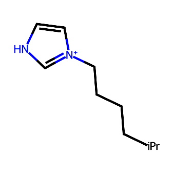 CC(C)CCCC[n+]1cc[nH]c1